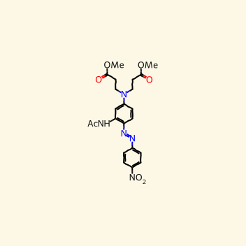 COC(=O)CCN(CCC(=O)OC)c1ccc(/N=N/c2ccc([N+](=O)[O-])cc2)c(NC(C)=O)c1